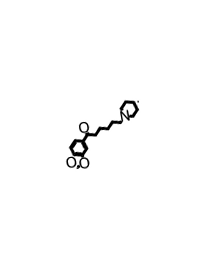 O=C(CCCCCN1CC[CH]CC1)c1ccc2c(c1)OCO2